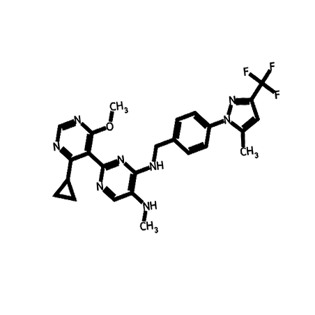 CNc1cnc(-c2c(OC)ncnc2C2CC2)nc1NCc1ccc(-n2nc(C(F)(F)F)cc2C)cc1